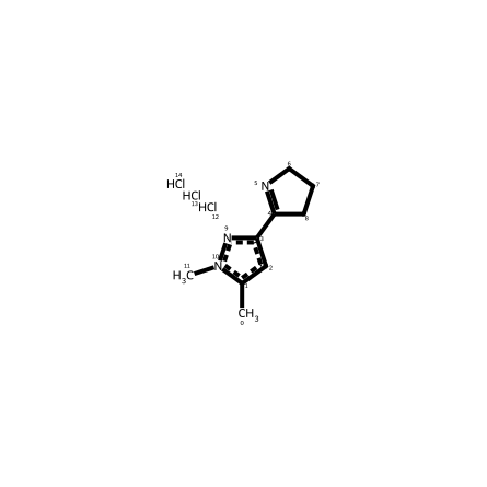 Cc1cc(C2=NCCC2)nn1C.Cl.Cl.Cl